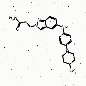 NC(=O)CCn1cc2cc(Nc3ccc(N4CCC(C(F)(F)F)CC4)cc3)ccc2n1